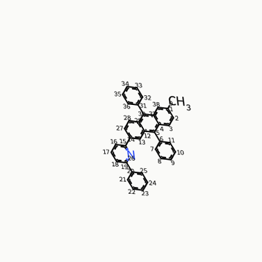 Cc1ccc2c(-c3ccccc3)c3cc(-c4cccc(-c5ccccc5)n4)ccc3c(-c3ccccc3)c2c1